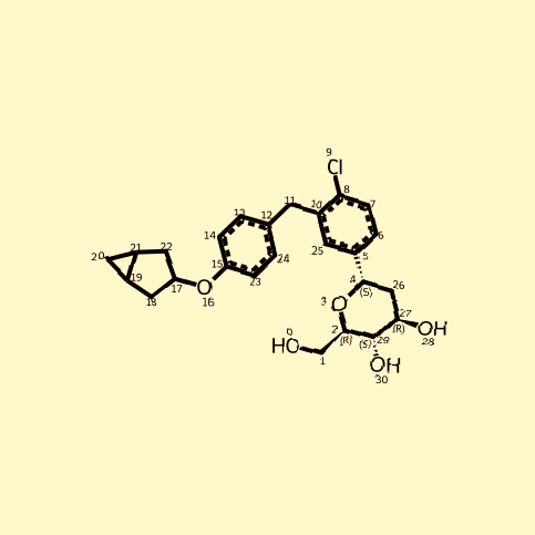 OC[C@H]1O[C@H](c2ccc(Cl)c(Cc3ccc(OC4CC5CC5C4)cc3)c2)C[C@@H](O)[C@@H]1O